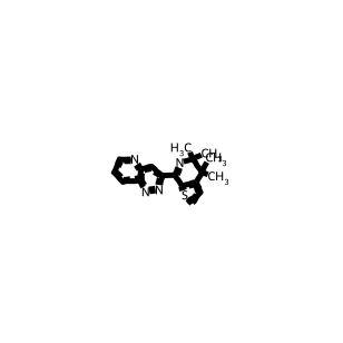 CC1(C)N=C(c2cc3ncccc3nn2)c2sccc2C1(C)C